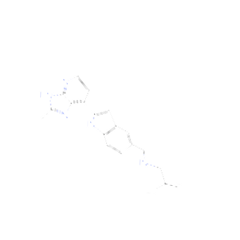 CCC(CC)CNCc1ccc2[nH]c(-c3ccnc4[nH]c(C)nc34)cc2c1